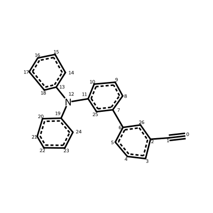 C#Cc1cccc(-c2cccc(N(c3ccccc3)c3ccccc3)c2)c1